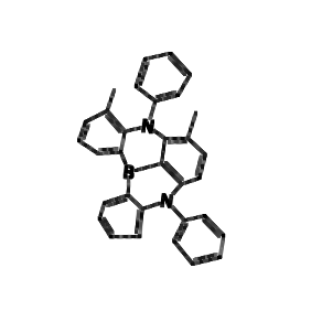 Cc1cccc2c1N(c1ccccc1)c1c(C)ccc3c1B2c1ccccc1N3c1ccccc1